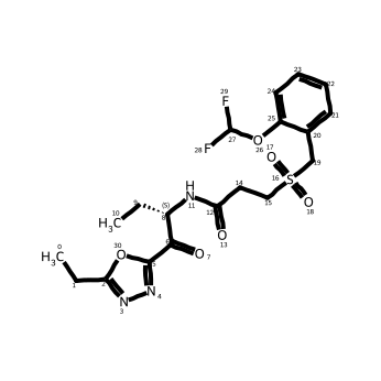 CCc1nnc(C(=O)[C@H](CC)NC(=O)CCS(=O)(=O)Cc2ccccc2OC(F)F)o1